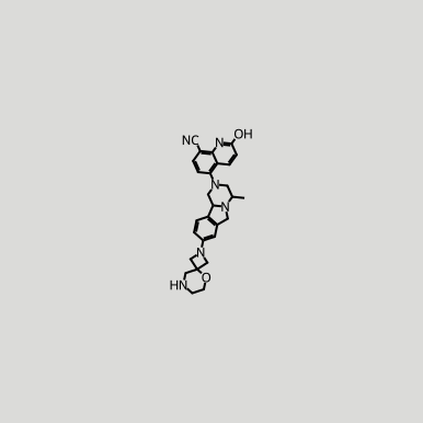 CC1CN(c2ccc(C#N)c3nc(O)ccc23)CC2c3ccc(N4CC5(CNCCO5)C4)cc3CN12